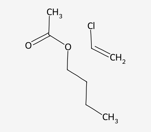 C=CCl.CCCCOC(C)=O